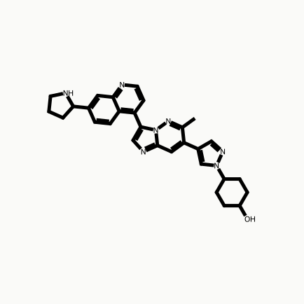 Cc1nn2c(-c3ccnc4cc(C5CCCN5)ccc34)cnc2cc1-c1cnn(C2CCC(O)CC2)c1